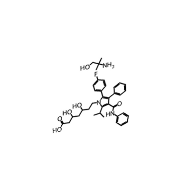 CC(C)(N)CO.CC(C)c1c(C(=O)Nc2ccccc2)c(-c2ccccc2)c(-c2ccc(F)cc2)n1CCC(O)CC(O)CC(=O)O